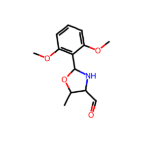 COc1cccc(OC)c1C1NC(C=O)C(C)O1